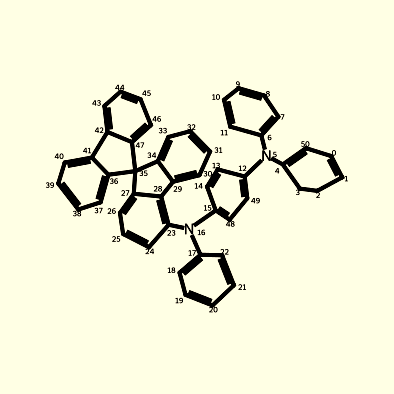 C1=CCCC(N(c2ccccc2)c2ccc(N(c3ccccc3)c3cccc4c3-c3ccccc3C43c4ccccc4-c4ccccc43)cc2)=C1